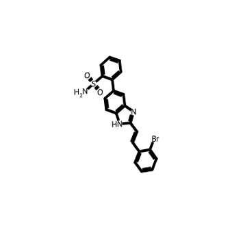 NS(=O)(=O)c1ccccc1-c1ccc2[nH]c(C=Cc3ccccc3Br)nc2c1